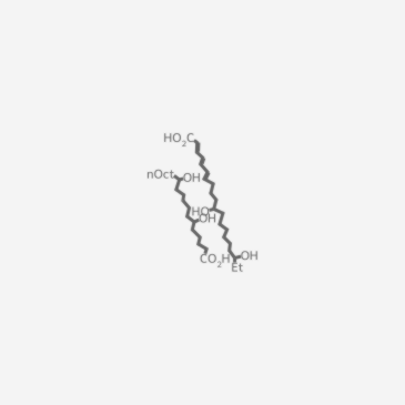 CCC(O)CCCCCCC(O)CCC/C=C/C=C/C=C/C(=O)O.CCCCCCCCC(O)CCCCCC(O)CCCCC(=O)O